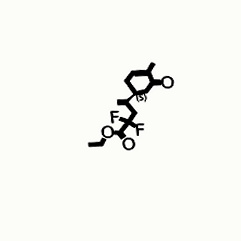 C=C(CC(F)(F)C(=O)OCC)[C@H]1CC=C(C)C(=O)C1